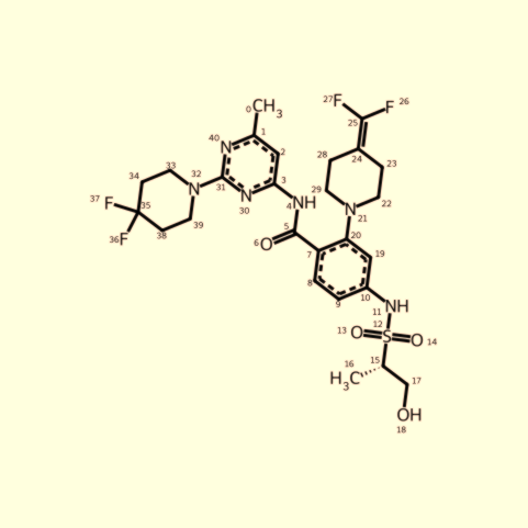 Cc1cc(NC(=O)c2ccc(NS(=O)(=O)[C@@H](C)CO)cc2N2CCC(=C(F)F)CC2)nc(N2CCC(F)(F)CC2)n1